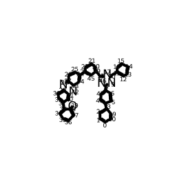 c1ccc(-c2ccc(-c3nc(-c4ccccc4)nc(-c4cccc(-c5ccc6nc7ccc8c9ccccc9oc8c7nc6c5)c4)n3)cc2)cc1